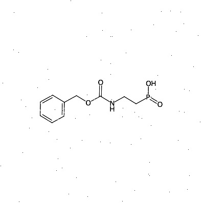 O=C(NCC[P](=O)O)OCc1ccccc1